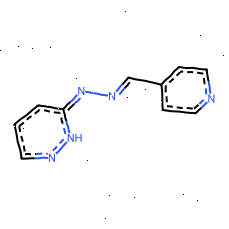 C(=NN=c1cccn[nH]1)c1ccncc1